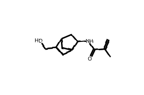 C=C(C)C(=O)NC1CC2CC1CC2CO